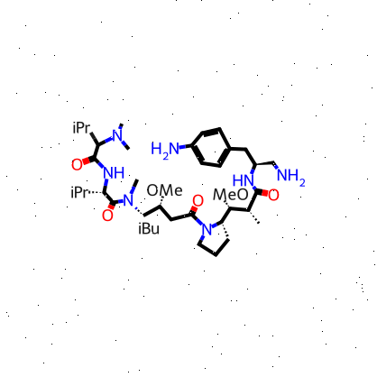 CC[C@H](C)[C@@H]([C@@H](CC(=O)N1CCC[C@H]1[C@H](OC)[C@@H](C)C(=O)N[C@H](CN)Cc1ccc(N)cc1)OC)N(C)C(=O)[C@@H](NC(=O)C(C(C)C)N(C)C)C(C)C